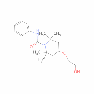 CC1(C)CC(OCCO)CC(C)(C)N1C(=O)Nc1ccccc1